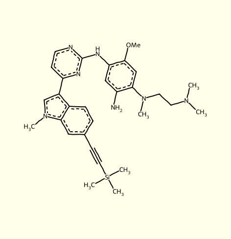 COc1cc(N(C)CCN(C)C)c(N)cc1Nc1nccc(-c2cn(C)c3cc(C#C[Si](C)(C)C)ccc23)n1